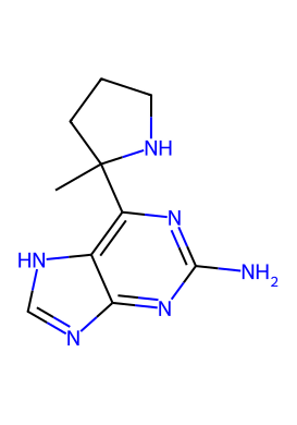 CC1(c2nc(N)nc3nc[nH]c23)CCCN1